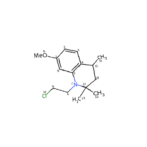 COc1ccc2c(c1)N(CCCl)C(C)(C)CC2C